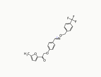 Cc1ccc(C(=O)COc2ccc(/C=N/OCc3ccc(C(F)(F)F)cc3)cc2)o1